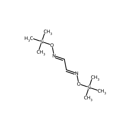 C[Si](C)(C)ON=CC=NO[Si](C)(C)C